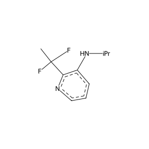 CC(C)Nc1cccnc1C(C)(F)F